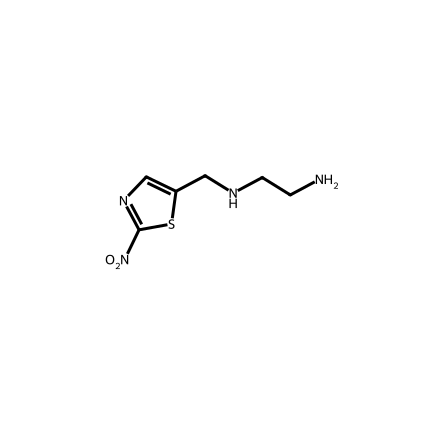 NCCNCc1cnc([N+](=O)[O-])s1